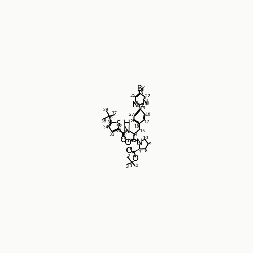 CC(C)(C)OC(=O)[C@@H]1CCCN1C(=O)C(Cc1ccc(-c2ncc(Br)cn2)cc1)NC(=O)c1ccc(C(C)(C)C)s1